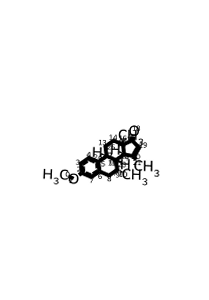 COc1ccc2c(c1)C[C@@H](C)[C@@H]1[C@@H]2CC[C@]2(C)C(=O)C=C(C)[C@@H]12